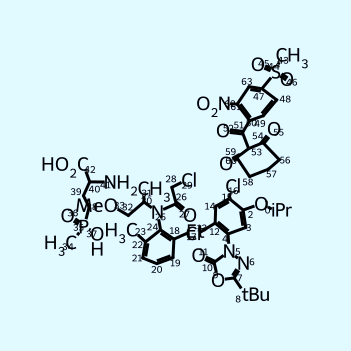 CC(C)Oc1cc(-n2nc(C(C)(C)C)oc2=O)c(Cl)cc1Cl.CCc1cccc(C)c1N(C(=O)CCl)C(C)COC.CP(=O)(O)CCC(N)C(=O)O.CS(=O)(=O)c1ccc(C(=O)C2C(=O)CCCC2=O)c([N+](=O)[O-])c1